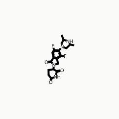 CC1CN(c2c(F)cc3c(c2F)CN(C2CCC(=O)NC2=O)C3=O)CC(C)N1